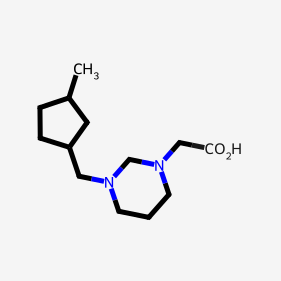 CC1CCC(CN2CCCN(CC(=O)O)C2)C1